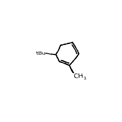 CC1=CC(C(C)(C)C)CC=C1